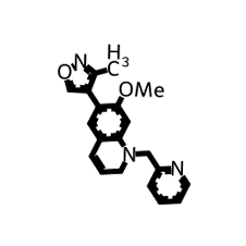 COc1cc2c(cc1-c1conc1C)C=CCN2Cc1ccccn1